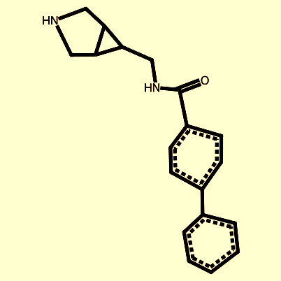 O=C(NCC1C2CNCC21)c1ccc(-c2ccccc2)cc1